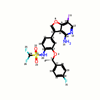 C[C@H](Oc1cc(-c2coc3c(I)cnc(N)c23)ccc1NS(=O)(=O)C(F)F)c1ccc(F)cc1